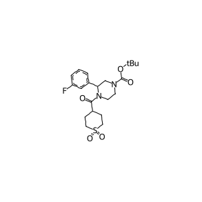 CC(C)(C)OC(=O)N1CCN(C(=O)C2CCS(=O)(=O)CC2)C(c2cccc(F)c2)C1